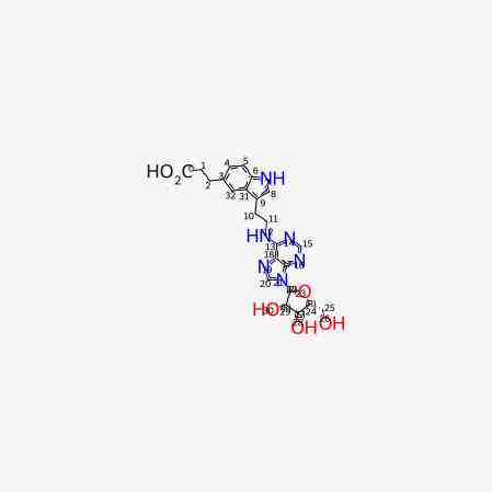 O=C(O)CCc1ccc2[nH]cc(CCNc3ncnc4c3ncn4[C@@H]3O[C@H](CO)[C@@H](O)[C@H]3O)c2c1